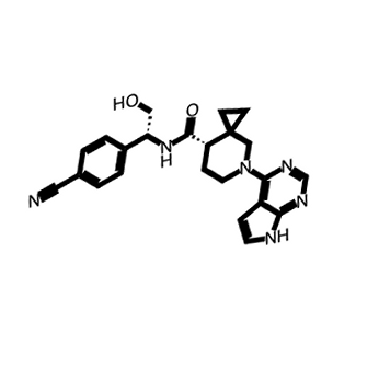 N#Cc1ccc([C@H](CO)NC(=O)[C@H]2CCN(c3ncnc4[nH]ccc34)CC23CC3)cc1